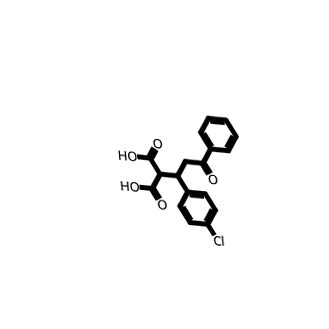 O=C(CC(c1ccc(Cl)cc1)C(C(=O)O)C(=O)O)c1ccccc1